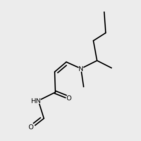 CCCC(C)N(C)/C=C\C(=O)NC=O